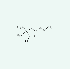 CC=CCCC(C)([SiH3])C(Cl)Cl